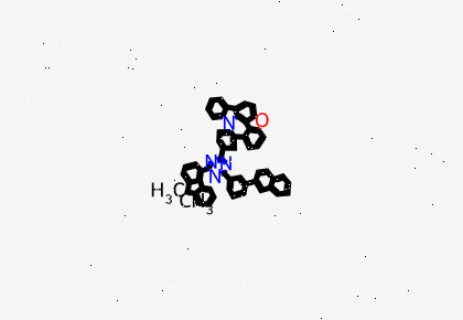 CC1(C)c2ccccc2-c2c(-c3nc(-c4cccc(-c5ccc6ccccc6c5)c4)nc(-c4ccc5c(c4)c4cccc6oc7ccc8c9ccccc9n5c8c7c64)n3)cccc21